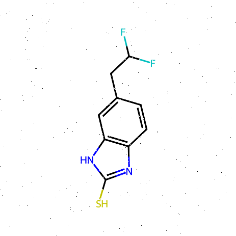 FC(F)Cc1ccc2nc(S)[nH]c2c1